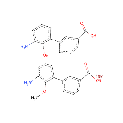 Br.COc1c(N)cccc1-c1cccc(C(=O)O)c1.Nc1cccc(-c2cccc(C(=O)O)c2)c1O